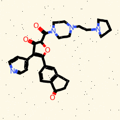 O=C1CCc2cc(C3=C(c4ccncc4)C(=O)C(C(=O)N4CCN(CCN5CCCC5)CC4)O3)ccc21